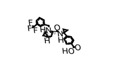 O=C(O)c1ccc(C2(NC(=O)[C@H]3C[C@H]4C[C@H]4N3Cc3cccc(C(F)(F)F)c3)CC2)cc1